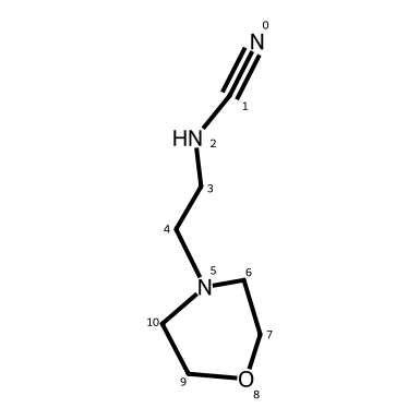 N#CNCCN1CCOCC1